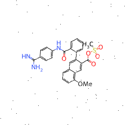 COc1cccc2cc(-c3ccccc3C(=O)Nc3ccc(C(=N)N)cc3)c(C(=O)OS(C)(=O)=O)cc12